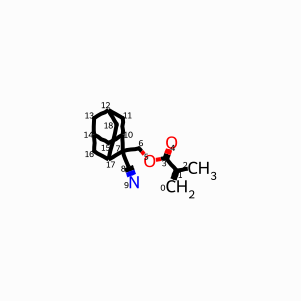 C=C(C)C(=O)OCC1(C#N)C2CC3CC(C2)CC1C3